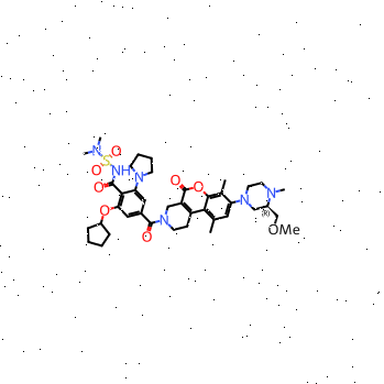 COC[C@H]1CN(c2cc(C)c3c4c(c(=O)oc3c2C)CN(C(=O)c2cc(OC3CCCC3)c(C(=O)NS(=O)(=O)N(C)C)c(N3CCCC3)c2)CC4)CCN1C